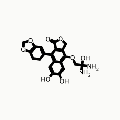 NC(N)(O)COc1c2c(c(C3=CC4=C(CC3)OCO4)c3cc(O)c(O)cc13)C(=O)OC2